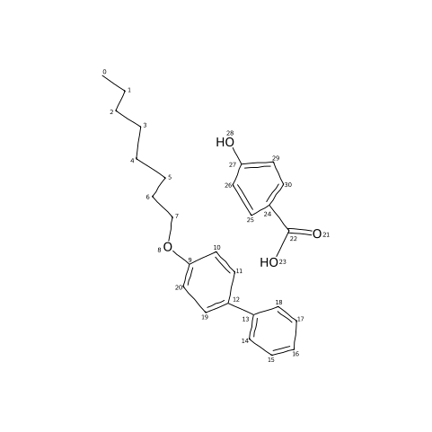 CCCCCCCCOc1ccc(-c2ccccc2)cc1.O=C(O)c1ccc(O)cc1